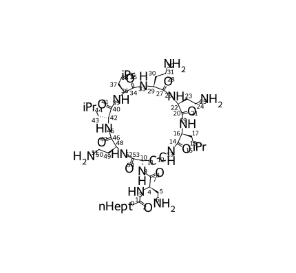 CCCCCCCC(=O)N[C@H](CN)C(=O)N[C@H]1CCNC(=O)[C@H](CC(C)C)NC(=O)[C@H](CCN)NC(=O)[C@H](CCN)NC(=O)[C@H](CC(C)C)NC(=O)[C@@H](CC(C)C)NC(=O)[C@H](CCN)NC1=O